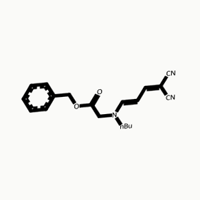 CCCCN(/C=C/C=C(C#N)C#N)CC(=O)OCc1ccccc1